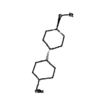 CCCCC1CCC([C@H]2CC[C@H](OCC)CC2)CC1